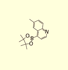 Cc1ccc2nccc(B3OC(C)(C)C(C)(C)O3)c2c1